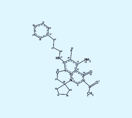 CC(=O)c1cn2c3c(c(NCCCc4ccccc4)c(F)c(N)c3c1=O)OCC21CCCC1